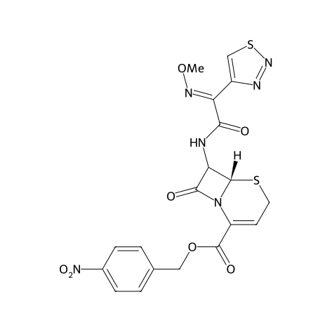 CON=C(C(=O)NC1C(=O)N2C(C(=O)OCc3ccc([N+](=O)[O-])cc3)=CCS[C@@H]12)c1csnn1